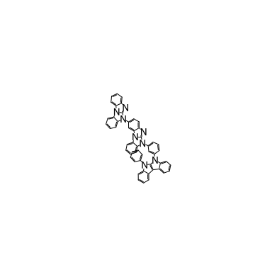 c1ccc(-n2c3ccccc3c3c4ccccc4n(-c4cccc(-n5c6ccccc6n6c7cc(-n8c9ccccc9n9c%10ccccc%10nc89)ccc7nc56)c4)c32)cc1